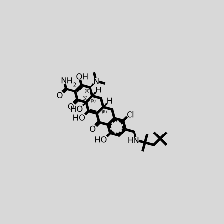 CN(C)[C@@H]1C(O)=C(C(N)=O)C(=O)[C@@]2(O)C(O)=C3C(=O)c4c(O)cc(CNC(C)(C)CC(C)(C)C)c(Cl)c4C[C@H]3C[C@@H]12